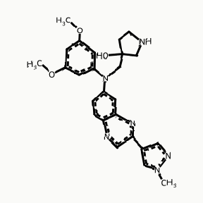 COc1cc(OC)cc(N(CC2(O)CCNC2)c2ccc3ncc(-c4cnn(C)c4)nc3c2)c1